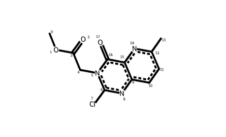 COC(=O)Cn1c(Cl)nc2ccc(C)nc2c1=O